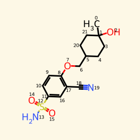 CC1(O)CCC(COc2ccc(S(N)(=O)=O)cc2C#N)CC1